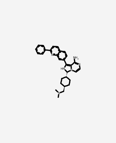 CN(C)C[C@H]1CC[C@H](C2NC(c3ccc4ccc(-c5ccccc5)nc4c3)=C3C(N)=NC=CN32)CC1